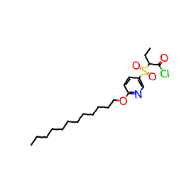 CCCCCCCCCCCCOc1ccc(S(=O)(=O)C(CC)C(=O)Cl)cn1